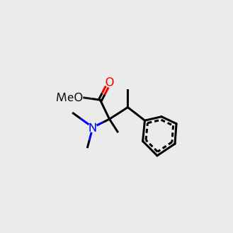 COC(=O)C(C)(C(C)c1ccccc1)N(C)C